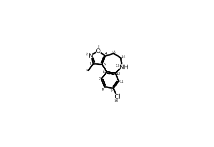 Cc1noc2c1-c1ccc(Cl)cc1NCC2